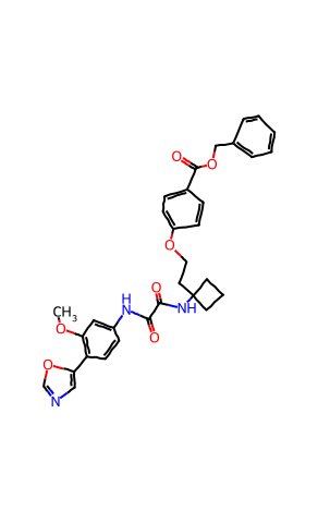 COc1cc(NC(=O)C(=O)NC2(CCOc3ccc(C(=O)OCc4ccccc4)cc3)CCC2)ccc1-c1cnco1